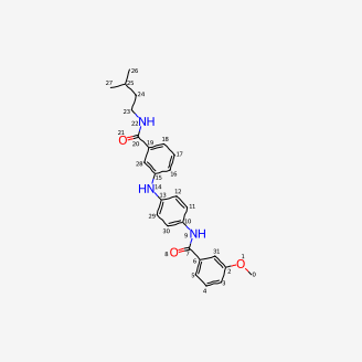 COc1cccc(C(=O)Nc2ccc(Nc3cccc(C(=O)NCCC(C)C)c3)cc2)c1